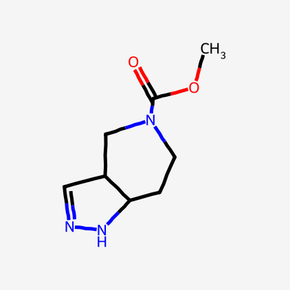 COC(=O)N1CCC2NN=CC2C1